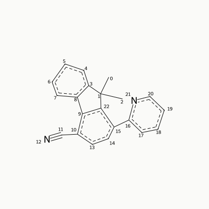 CC1(C)c2ccccc2-c2c(C#N)ccc(-c3ccccn3)c21